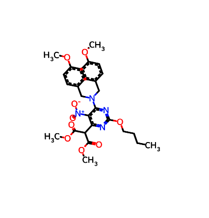 CCCCOc1nc(C(C(=O)OC)C(=O)OC)c([N+](=O)[O-])c(N(Cc2ccc(OC)cc2)Cc2ccc(OC)cc2)n1